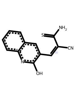 N#C/C(=C/c1cc2ccccc2nc1O)C(N)=S